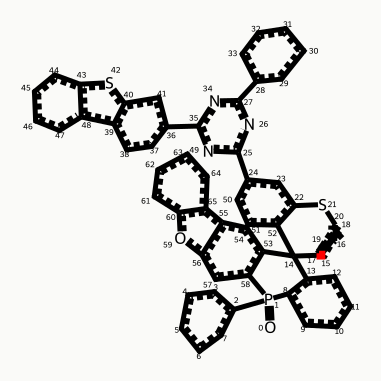 O=P1(c2ccccc2)c2ccccc2C2(c3ccccc3Sc3cc(-c4nc(-c5ccccc5)nc(-c5ccc6c(c5)sc5ccccc56)n4)ccc32)c2cc3c(cc21)oc1ccccc13